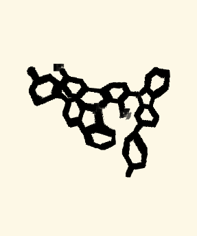 Cc1ccc(-c2ccc3c4ccccc4n(-c4ccc(-c5cccc(C#N)c5)c(-n5c6ccccc6c6ccc(-c7ccc(C)cc7)cc65)c4C(F)(F)F)c3c2)cc1